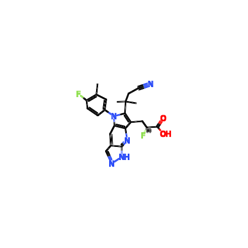 Cc1cc(-n2c(C(C)(C)CC#N)c(C[C@@H](F)C(=O)O)c3nc4[nH]ncc4cc32)ccc1F